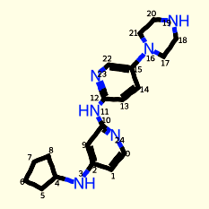 c1cc(NC2CCCC2)cc(Nc2ccc(N3CCNCC3)cn2)n1